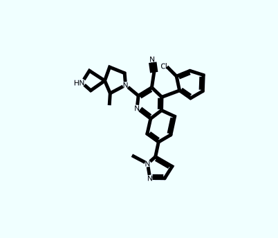 CC1N(c2nc3cc(-c4ccnn4C)ccc3c(-c3ccccc3Cl)c2C#N)CCC12CNC2